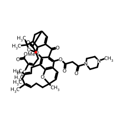 COC(=O)/C(C)=C\CC12OC(C)(C)C3CC(C=C4C(=O)c5c(OC(=O)CC(=O)N6CCN(C)CC6)c6c(c(CC=C(C)C)c5OC431)OC(C)(CCC=C(C)C)C=C6)C2=O